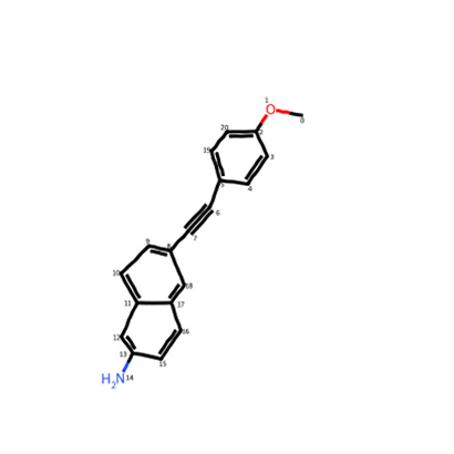 COc1ccc(C#Cc2ccc3cc(N)ccc3c2)cc1